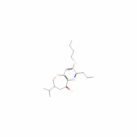 CCCCOc1cc2c(nc1CCC)C(=O)CC(C(C)C)CO2